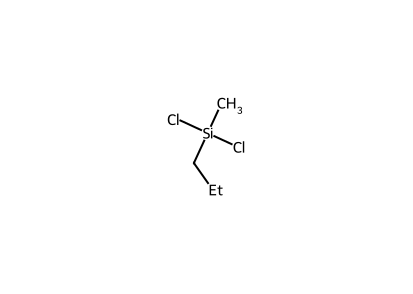 CCC[Si](C)(Cl)Cl